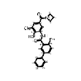 O=C(Nc1cc(C(=O)N2CCC2)cc(Cl)c1O)c1cc(-c2ccccc2)ccc1F